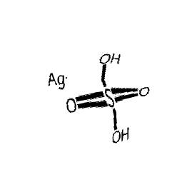 O=S(=O)(O)O.[Ag]